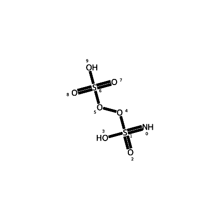 N=S(=O)(O)OOS(=O)(=O)O